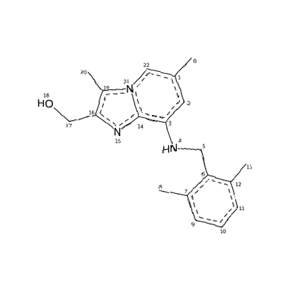 Cc1cc(NCc2c(C)cccc2C)c2nc(CO)c(C)n2c1